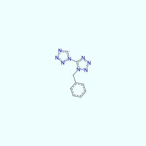 [c]1nnnn1-c1nnnn1Cc1ccccc1